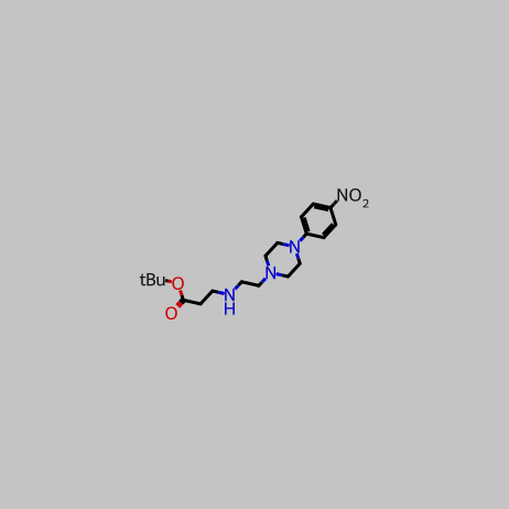 CC(C)(C)OC(=O)CCNCCN1CCN(c2ccc([N+](=O)[O-])cc2)CC1